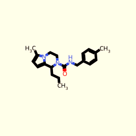 CCCC1c2ccc(C)n2CCN1C(=O)NCc1ccc(C)cc1